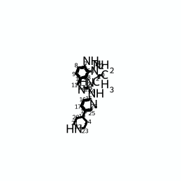 CC(C)N(N)c1c(N)ccc2cnc(Nc3ccc(C4CCNCC4)cn3)nc12